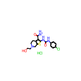 Cl.NC(=O)c1c(NC(=O)Nc2ccc(Cl)cc2)sc2c1CCN(CCO)C2